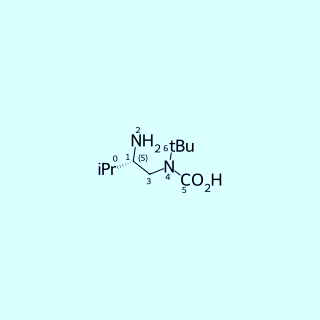 CC(C)[C@H](N)CN(C(=O)O)C(C)(C)C